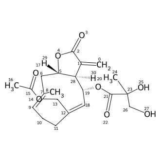 C=C1C(=O)O[C@H]2C/C(C)=C/CC/C(COC(C)=O)=C/[C@@H](OC(=O)C(C)(O)CO)[C@H]12